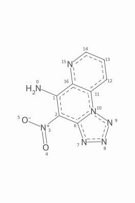 Nc1c([N+](=O)[O-])c2nnnn2c2cccnc12